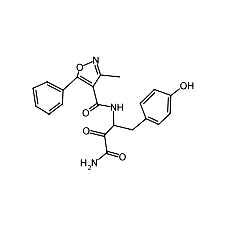 Cc1noc(-c2ccccc2)c1C(=O)NC(Cc1ccc(O)cc1)C(=O)C(N)=O